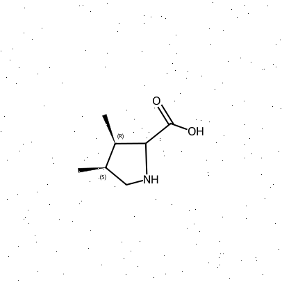 C[C@@H]1CNC(C(=O)O)[C@@H]1C